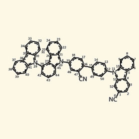 N#Cc1ccc2c3ccccc3n(-c3ccc(-c4ccc(-n5c6ccccc6c6c(-n7c8ccccc8c8ccccc87)cccc65)cc4C#N)cc3)c2c1